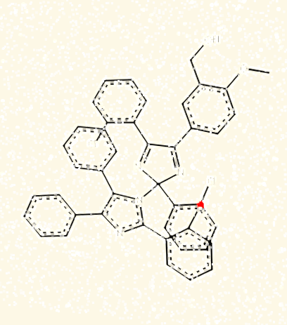 COc1ccc(C2=NC(c3ccccc3Cl)(n3c(-c4ccccc4Cl)nc(-c4ccccc4)c3-c3ccccc3)N=C2c2ccccc2Cl)cc1CO